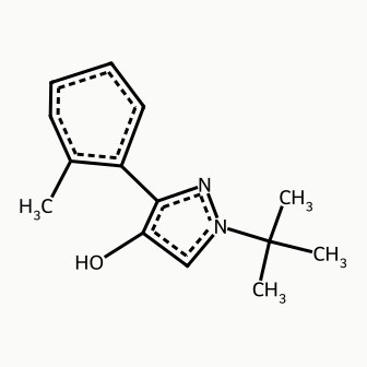 Cc1ccccc1-c1nn(C(C)(C)C)cc1O